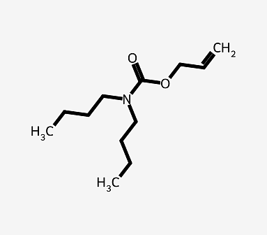 C=CCOC(=O)N(CCCC)CCCC